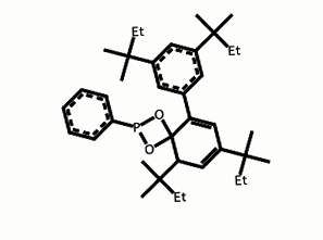 CCC(C)(C)C1=CC(C(C)(C)CC)C2(OP(c3ccccc3)O2)C(c2cc(C(C)(C)CC)cc(C(C)(C)CC)c2)=C1